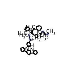 C=C/C(=C\C=C(/C)N(c1ccc(C)n(C(=C)/C=C\C/C=C\C)c2c(c(C)c1)C=CCC=C2)c1ccccc1C)c1ccc(-n2c3ccccc3c3ccc4c5ccccc5[nH]c4c32)cc1